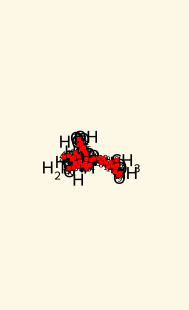 Cn1c(=O)n(C2CCC(=O)NC2=O)c2ccc([C@H]3CC[C@@H](CCC(=O)N4CC[C@H]5CC[C@@H](C(=O)N[C@@H](CCC(N)=O)C(=O)NC(c6ccccc6)c6ccccc6)N5C(=O)[C@@H](NC(=O)c5cc6cc(C(=O)P(=O)(O)O)ccc6[nH]5)C4)CC3)cc21